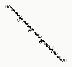 O=C(CSCCSCC[S+]([O-])CSCCSCSC(=O)CSCCSCC(=O)OCCSCSCO)OCCSCSCO